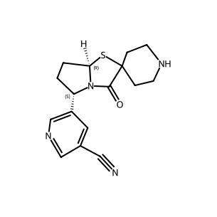 N#Cc1cncc([C@@H]2CC[C@H]3SC4(CCNCC4)C(=O)N32)c1